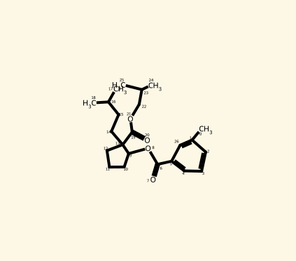 Cc1cccc(C(=O)OC2CCCC2(CCC(C)C)C(=O)OCC(C)C)c1